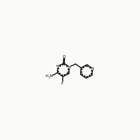 Nc1nc(=O)n(Cc2cccnc2)cc1F